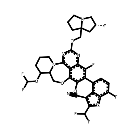 N#Cc1c(C(F)F)sc2c(F)ccc(-c3c(Cl)c4c5c(nc(OCC67CCCN6C[C@H](F)C7)nc5c3F)N3CCCC(OC(F)F)C3CO4)c12